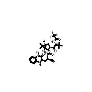 CN1c2ccccc2NC(=O)C1CC(C#N)NC(=O)[C@@H]1[C@@H]2[C@H](CN1C(=O)[C@@H](NC(=O)C(F)(F)F)C(C)(C)C)C2(C)C